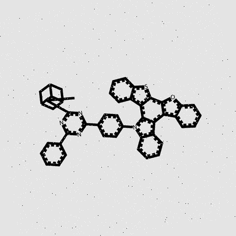 CC1(c2nc(-c3ccccc3)nc(-c3ccc(-n4c5ccccc5c5c6c7ccccc7oc6c6sc7ccccc7c6c54)cc3)n2)CC2CC3CC(C2)C31